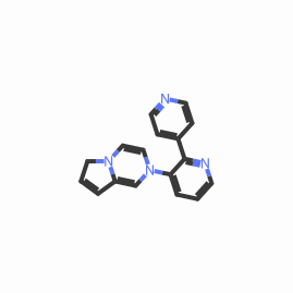 C1=CC2=CN(c3cccnc3-c3ccncc3)C=CN2C1